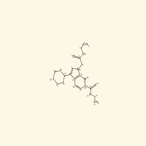 CCOC(=O)Cn1cc(C2CCCCC2)c2ccc(C(=O)OCC)nc21